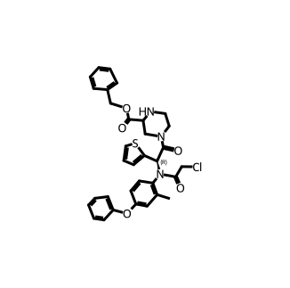 Cc1cc(Oc2ccccc2)ccc1N(C(=O)CCl)[C@H](C(=O)N1CCNC(C(=O)OCc2ccccc2)C1)c1cccs1